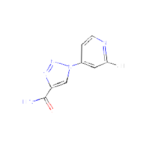 Cc1cc(-n2cc(C(N)=O)nn2)ccn1